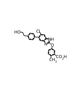 Cc1ccc(Oc2nc3cc(-c4ccc(CCO)cc4)c(Cl)cc3[nH]2)cc1C(=O)O